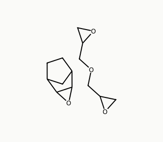 C(OCC1CO1)C1CO1.C1CC2CC1C1OC21